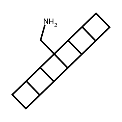 NCC12C3C4CCC4C3C1C1C3CCC3C12